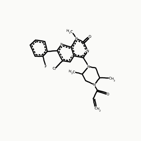 C=CC(=O)N1CC(C)N(c2nc(=O)n(C)c3nc(-c4ccccc4F)c(Cl)cc23)CC1C